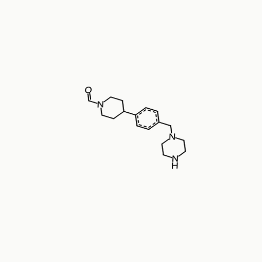 O=CN1CCC(c2ccc(CN3CCNCC3)cc2)CC1